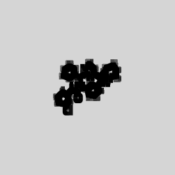 O=C(Cc1cccc(Cl)c1)Nc1cccc(-c2nn3ccccc3c2-c2ccnc(Nc3ccccc3)n2)c1